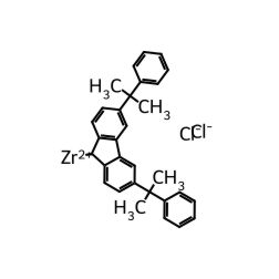 CC(C)(c1ccccc1)c1ccc2c(c1)-c1cc(C(C)(C)c3ccccc3)ccc1[CH]2[Zr+2].[Cl-].[Cl-]